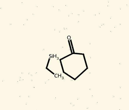 CC[SiH3].O=C1CCCCC1